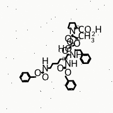 C[C@H](OP(=O)(O)C(Cc1ccccc1)NC(=O)[C@H](CCCCNC(=O)OCc1ccccc1)NC(=O)OCc1ccccc1)C(=O)N1CCC[C@H]1C(=O)O